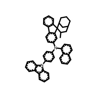 CC1CC2CCCC(C2)C12c1ccccc1-c1ccc(N(c3ccc(-n4c5ccccc5c5ccccc54)cc3)c3cccc4ccccc34)cc12